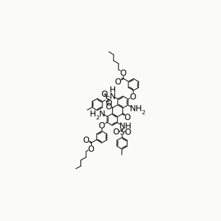 CCCCCOC(=O)c1cccc(Oc2cc(NS(=O)(=O)c3ccc(C)cc3)c3c(c2N)C(=O)c2c(NS(=O)(=O)c4ccc(C)cc4)cc(Oc4cccc(C(=O)OCCCCC)c4)c(N)c2C3=O)c1